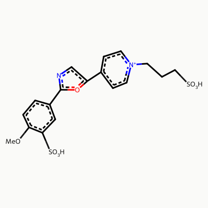 COc1ccc(-c2ncc(-c3cc[n+](CCCS(=O)(=O)O)cc3)o2)cc1S(=O)(=O)O